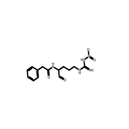 N=C(NCCCC(C=O)NC(=O)Cc1ccccc1)N[N+](=O)[O-]